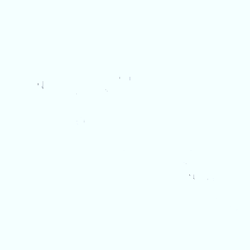 O=C(/C=C/c1ccc2c(c1)C(=O)CC1(CCCN(Cc3ccccc3)CC1)O2)NOC1CCCCO1